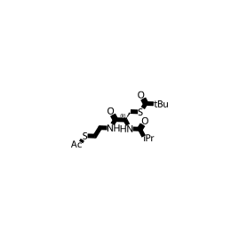 CC(=O)SCCNC(=O)[C@H](CSC(=O)C(C)(C)C)NC(=O)C(C)C